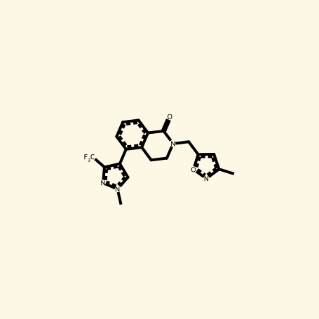 Cc1cc(CN2CCc3c(cccc3-c3cn(C)nc3C(F)(F)F)C2=O)on1